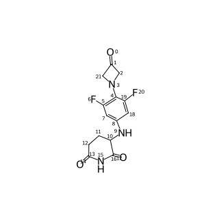 O=C1CN(c2c(F)cc(NC3CCC(=O)NC3=O)cc2F)C1